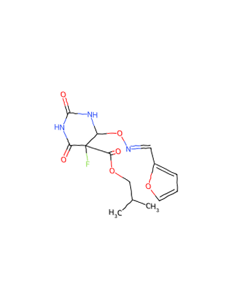 CC(C)COC(=O)C1(F)C(=O)NC(=O)NC1O/N=C/c1ccco1